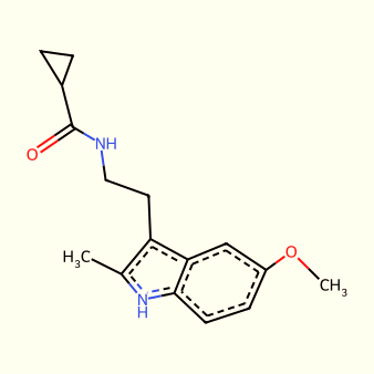 COc1ccc2[nH]c(C)c(CCNC(=O)C3CC3)c2c1